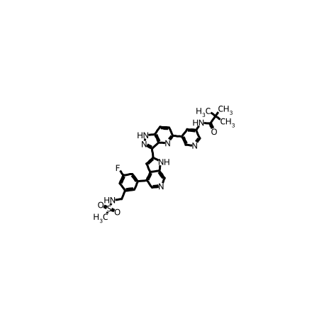 CC(C)(C)C(=O)Nc1cncc(-c2ccc3[nH]nc(-c4cc5c(-c6cc(F)cc(CNS(C)(=O)=O)c6)cncc5[nH]4)c3n2)c1